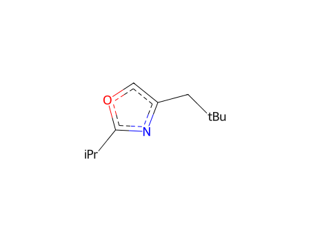 CC(C)c1nc(CC(C)(C)C)co1